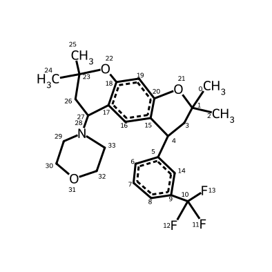 CC1(C)CC(c2cccc(C(F)(F)F)c2)c2cc3c(cc2O1)OC(C)(C)CC3N1CCOCC1